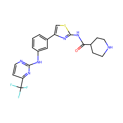 O=C(Nc1nc(-c2cccc(Nc3nccc(C(F)(F)F)n3)c2)cs1)C1CCNCC1